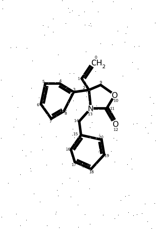 C=CC1(c2ccccc2)COC(=O)N1Cc1ccccc1